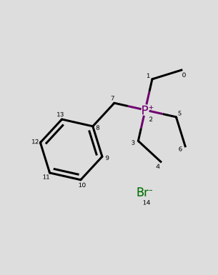 CC[P+](CC)(CC)Cc1ccccc1.[Br-]